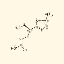 CC[C@H](CCC(=O)O)c1cnc(C)s1